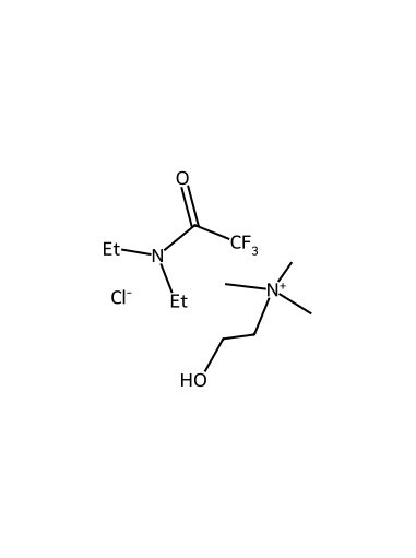 CCN(CC)C(=O)C(F)(F)F.C[N+](C)(C)CCO.[Cl-]